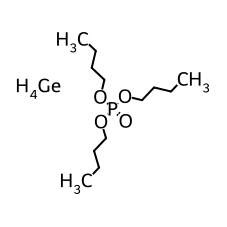 CCCCOP(=O)(OCCCC)OCCCC.[GeH4]